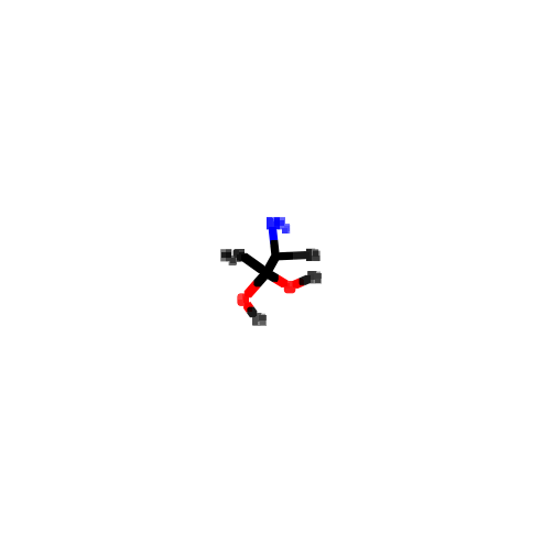 CCOC([SiH3])(OCC)C(N)CC